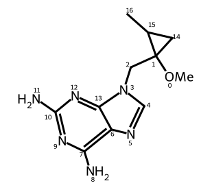 COC1(Cn2cnc3c(N)nc(N)nc32)CC1C